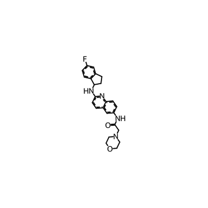 O=C(CN1CCOCC1)Nc1ccc2nc(NC3CCc4cc(F)ccc43)ccc2c1